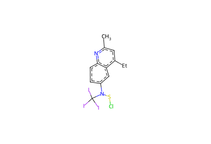 CCc1cc(C)nc2ccc(N(SCl)C(I)(I)I)cc12